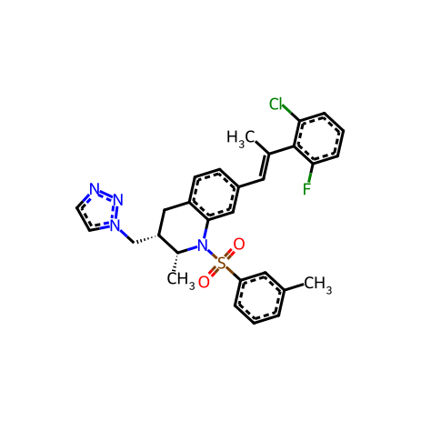 C/C(=C\c1ccc2c(c1)N(S(=O)(=O)c1cccc(C)c1)[C@H](C)[C@H](Cn1ccnn1)C2)c1c(F)cccc1Cl